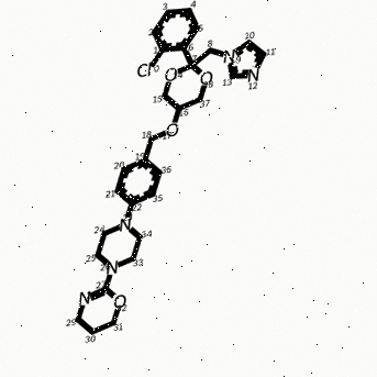 Clc1ccccc1C1(Cn2ccnc2)OCC(OCc2ccc(N3CCN(C4=NCCCO4)CC3)cc2)CO1